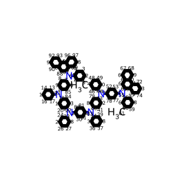 Cc1cccc(N(c2ccc(N(c3ccccc3)c3ccc(N(c4ccccc4)c4ccc(N(c5ccccc5)c5ccc(N(c6ccccc6)c6ccc(N(c7cccc(C)c7)c7cc8ccccc8c8ccccc78)cc6)cc5)cc4)cc3)cc2)c2cc3ccccc3c3ccccc23)c1